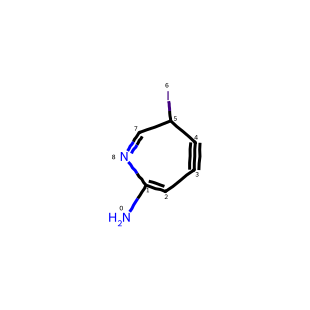 NC1=CC#CC(I)C=N1